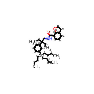 CCC[CH2][Sn]([CH2]CCC)([CH2]CCC)[c]1cccc(C(CC)(CC)CNC(=O)c2cccc3c2OCC3)c1